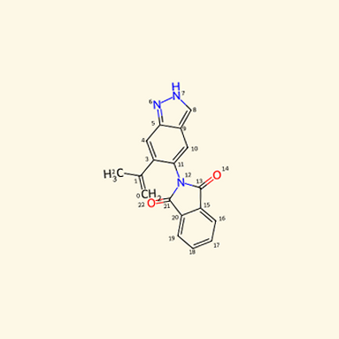 C=C(C)c1cc2n[nH]cc2cc1N1C(=O)c2ccccc2C1=O